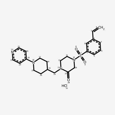 C=Cc1cccc(S(=O)(=O)N2CCN(CC3CCN(c4ccncc4)CC3)C(=O)C2)c1.Cl